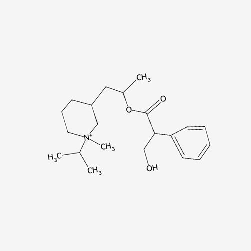 CC(CC1CCC[N+](C)(C(C)C)C1)OC(=O)C(CO)c1ccccc1